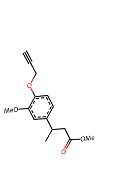 C#CCOc1ccc(C(C)CC(=O)OC)cc1OC